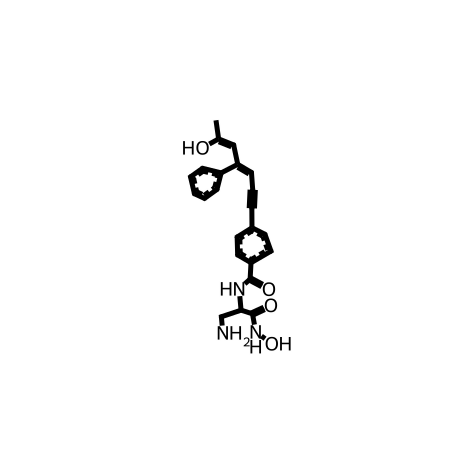 C/C(O)=C/C(=C/C#Cc1ccc(C(=O)NC(CN)C(=O)NO)cc1)c1ccccc1